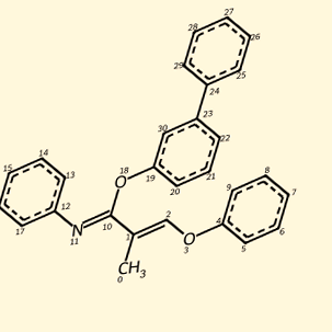 CC(=C\Oc1ccccc1)/C(=N/c1ccccc1)Oc1cccc(-c2ccccc2)c1